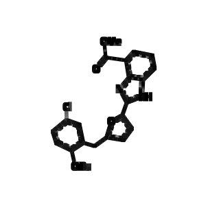 COC(=O)c1cccc2[nH]c(-c3ccc(Cc4cc(Cl)ccc4OCC(C)C)o3)nc12